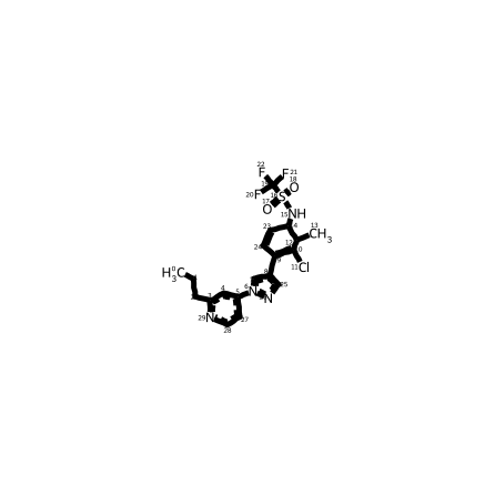 CCCc1cc(-n2cc(C3=C(Cl)C(C)C(NS(=O)(=O)C(F)(F)F)C=C3)cn2)ccn1